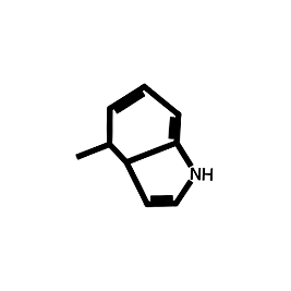 CC1C=CC=C2NC=CC21